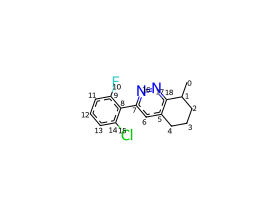 CC1CCCc2cc(-c3c(F)cccc3Cl)nnc21